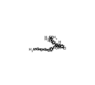 CC(C)(C)OC(=O)N1CCC(c2nn(-c3nc4cc(Cl)ccc4[nH]3)c(O)c2CCc2ccc(OCCOCCOCCOCCN)cc2)CC1